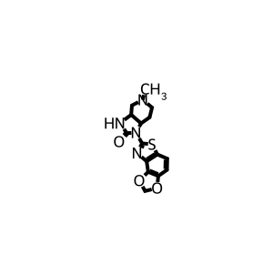 CN1CCC2C(C1)NC(=O)N2c1nc2c3c(ccc2s1)OCO3